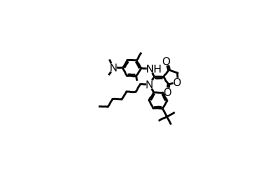 CCCCCCCN(C(Nc1c(C)cc(N(C)C)cc1C)=C1C(=O)COC1=O)c1ccc(C(C)(C)C)cc1